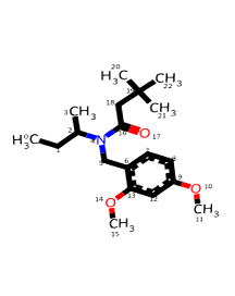 CCC(C)N(Cc1ccc(OC)cc1OC)C(=O)CC(C)(C)C